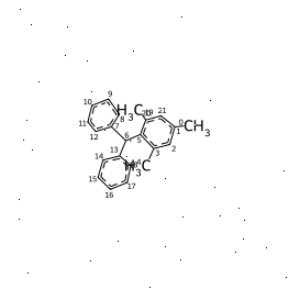 Cc1cc(C)c([C](c2ccccc2)c2ccccc2)c(C)c1